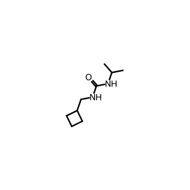 CC(C)NC(=O)NCC1CCC1